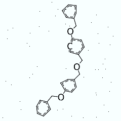 c1ccc(COc2ccc(COCc3ccc(OCc4ccccc4)cc3)cc2)cc1